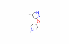 Cc1cnnc(OC2CCN(C)CC2)c1